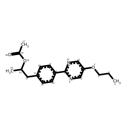 CCCOc1cnc(-c2ccc(CC(C)OC(C)=O)cc2)nc1